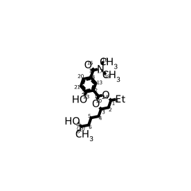 CCC1CC(CCC[C@H](C)O)OC(c2cc(C(=O)N(C)C)ccc2O)O1